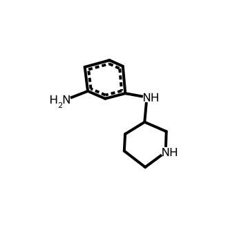 Nc1cccc(NC2CCCNC2)c1